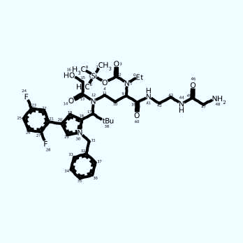 CCN(C(=O)O[Si](C)(C)C)C(CCN(C(=O)CO)C(c1cc(-c2cc(F)ccc2F)cn1Cc1ccccc1)C(C)(C)C)C(=O)NCCNC(=O)CN